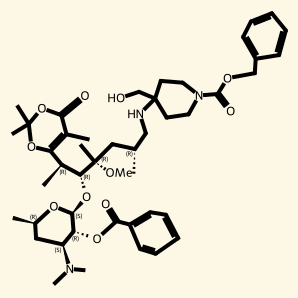 CO[C@](C)(C[C@@H](C)CNC1(CO)CCN(C(=O)OCc2ccccc2)CC1)[C@H](O[C@@H]1O[C@H](C)C[C@H](N(C)C)[C@H]1OC(=O)c1ccccc1)[C@@H](C)C1=C(C)C(=O)OC(C)(C)O1